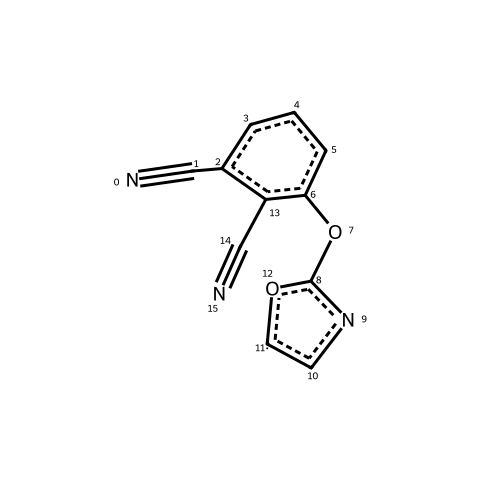 N#Cc1cccc(Oc2nc[c]o2)c1C#N